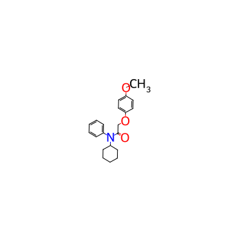 COc1ccc(OCC(=O)N(c2ccccc2)C2CCCCC2)cc1